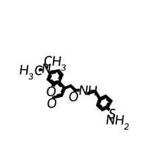 CN(C)c1ccc2c(CC(=O)NCCc3ccc(SN)cc3)cc(=O)oc2c1